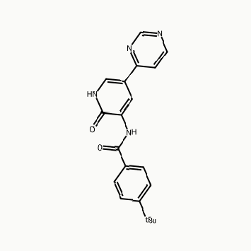 CC(C)(C)c1ccc(C(=O)Nc2cc(-c3ccncn3)c[nH]c2=O)cc1